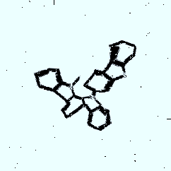 Cn1c2ccccc2c2ccc3c4ccccc4n(-c4ccc5c(c4)sc4ccccc45)c3c21